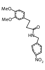 COc1ccc(CCC(=O)NCc2ccc([N+](=O)[O-])cc2)cc1OC